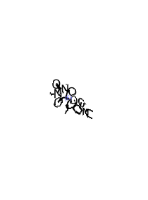 CCN1C(=O)/C(=C2\C=C(C)c3ccc(N(CC)CC)c(OC)c3O2)C(=O)N(C)C1=O